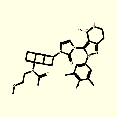 COCCN(C(C)=O)C12C3C4C1C1C2C3C41n1ccn(-c2c3c(nn2-c2cc(C)c(F)c(C)c2)CCN[C@H]3C)c1=O